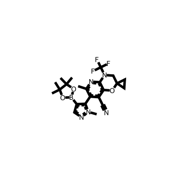 Cc1nc2c(c(C#N)c1-c1c(B3OC(C)(C)C(C)(C)O3)cnn1C)OC1(CC1)CN2C(F)(F)F